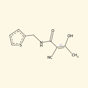 C/C(O)=C(\C#N)C(=O)NCc1cccs1